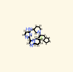 C=C(CC1CCCC1)N1CCC[C@@H](Nc2ccnc(-c3cnc4ccc(F)cn34)n2)C1